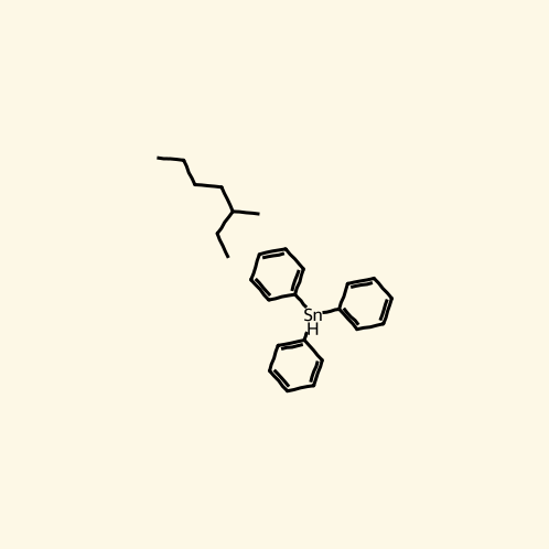 CCCCC(C)CC.c1cc[c]([SnH]([c]2ccccc2)[c]2ccccc2)cc1